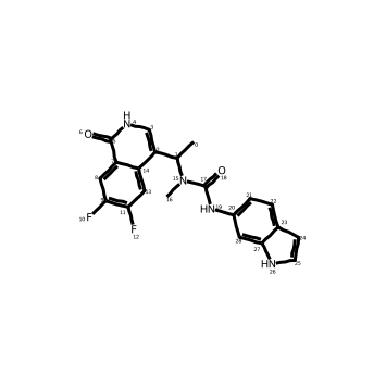 CC(c1c[nH]c(=O)c2cc(F)c(F)cc12)N(C)C(=O)Nc1ccc2cc[nH]c2c1